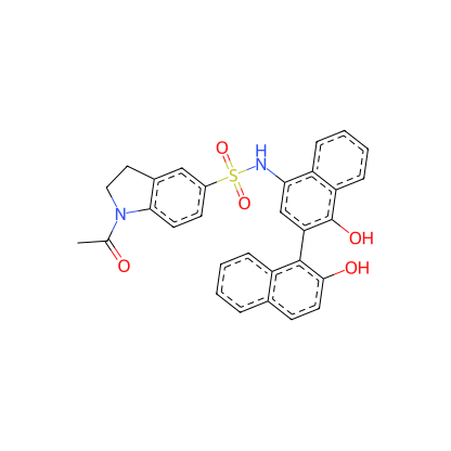 CC(=O)N1CCc2cc(S(=O)(=O)Nc3cc(-c4c(O)ccc5ccccc45)c(O)c4ccccc34)ccc21